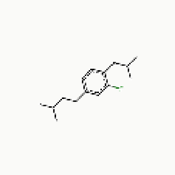 CC(C)CCc1ccc(CC(C)C)c(F)c1